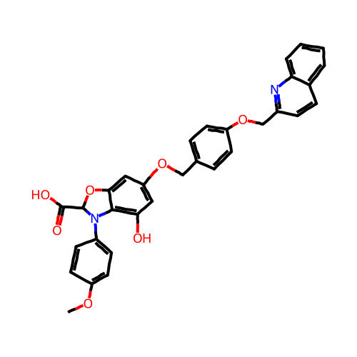 COc1ccc(N2c3c(O)cc(OCc4ccc(OCc5ccc6ccccc6n5)cc4)cc3OC2C(=O)O)cc1